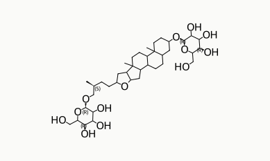 C[C@@H](CCC1CC2C(CC3C4CCC5CC(O[C@@H]6OC(CO)[C@H](O)C(O)C6O)CCC5(C)C4CCC23C)O1)CO[C@@H]1OC(CO)[C@H](O)C(O)C1O